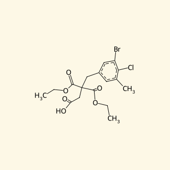 CCOC(=O)C(CC(=O)O)(Cc1cc(C)c(Cl)c(Br)c1)C(=O)OCC